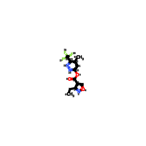 CCc1nocc1C(=O)Oc1cc(C)c(C(F)(F)F)nn1